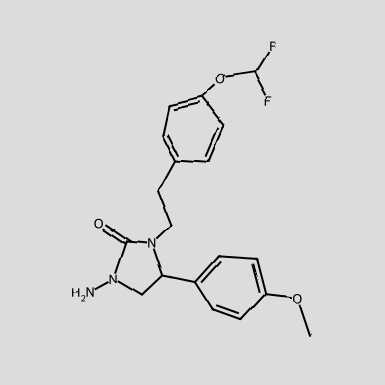 COc1ccc(C2CN(N)C(=O)N2CCc2ccc(OC(F)F)cc2)cc1